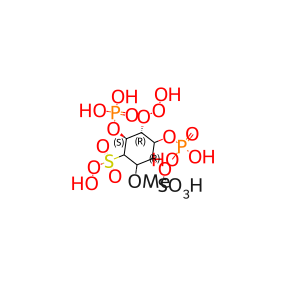 COC1C(S(=O)(=O)OO)[C@@H](OP(=O)(O)O)[C@H](OOO)C(OP(=O)(O)O)[C@@H]1OS(=O)(=O)O